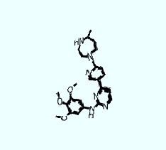 COc1cc(Nc2nccc(-c3ccc(N4CCNC(C)CC4)nc3)n2)cc(OC)c1OC